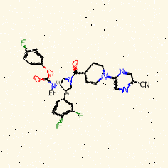 CCN(C(=O)Oc1ccc(F)cc1)[C@@H]1CN(C(=O)C2CCN(c3cnc(C#N)cn3)CC2)C[C@H]1c1ccc(F)c(F)c1